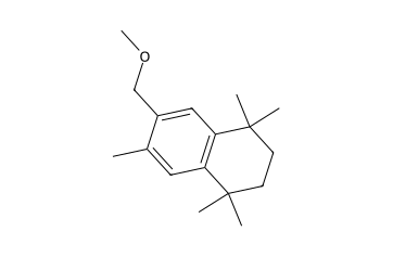 COCc1cc2c(cc1C)C(C)(C)CCC2(C)C